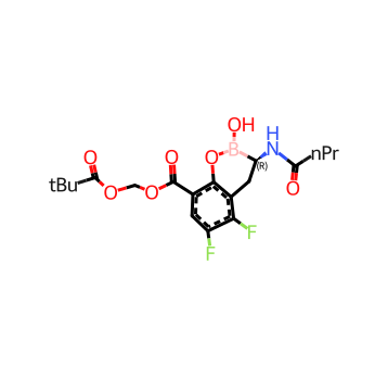 CCCC(=O)N[C@H]1Cc2c(F)c(F)cc(C(=O)OCOC(=O)C(C)(C)C)c2OB1O